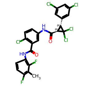 Cc1c(F)ccc(NC(=O)c2cc(NC(=O)[C@H]3[C@H](c4cc(Cl)cc(Cl)c4)C3(Cl)Cl)ccc2Cl)c1F